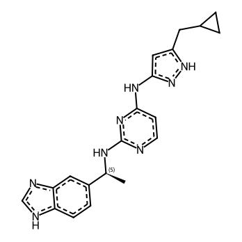 C[C@H](Nc1nccc(Nc2cc(CC3CC3)[nH]n2)n1)c1ccc2[nH]cnc2c1